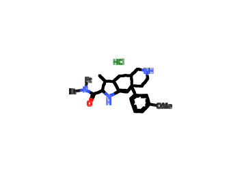 CCN(CC)C(=O)C1NC2=CC3(c4cccc(OC)c4)CCNCC3CC2C1C.Cl